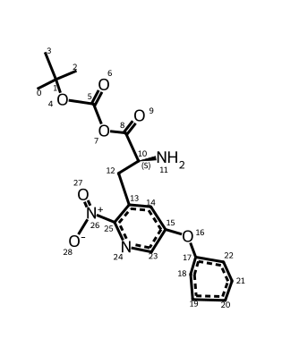 CC(C)(C)OC(=O)OC(=O)[C@@H](N)Cc1cc(Oc2ccccc2)cnc1[N+](=O)[O-]